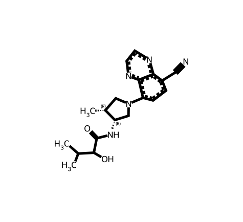 CC(C)C(O)C(=O)N[C@H]1CN(c2ccc(C#N)c3nccnc23)C[C@H]1C